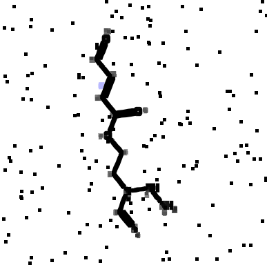 NNN(C=S)CCOC(=O)/C=C/C=O